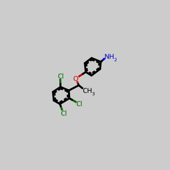 CC(Oc1ccc(N)cc1)c1c(Cl)ccc(Cl)c1Cl